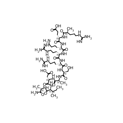 CC[C@H](C)[C@H](NC(=O)[C@H](CC(=O)O)NC(=O)[C@H](C)NC(=O)[C@H](CO)NC(=O)[C@H](CCCNC(=N)N)NC(=O)[C@H](CCCNC(=N)N)NC(=O)[C@H](CCCCN)NC(=O)[C@H](CCC(=O)O)NC(=O)[C@@H](C)CCCNC(=N)N)C(=O)N[C@@H](C)C(N)=O